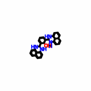 OC1C(C2Nc3cccc4cccc(c34)N2)=CC=CC1C1NC2=CC=CC3C=CC=C(N1)C23